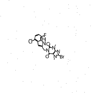 Cn1c(Br)nc2c1c(=O)n(Cc1cc3c(Cl)ccc(F)c3[nH]1)c(=O)n2C